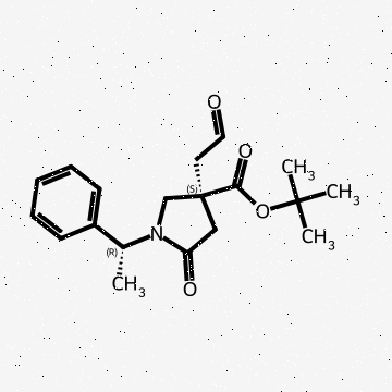 C[C@H](c1ccccc1)N1C[C@@](CC=O)(C(=O)OC(C)(C)C)CC1=O